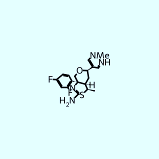 CN/C=C(\C=N)[C@H]1C[C@H]2[C@@H](C)SC(N)=N[C@@]2(c2ccc(F)cc2F)CO1